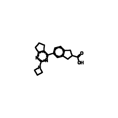 O=C(O)C1Cc2ccc(-c3nc(N4CCC4)nc4c3CCC4)cc2C1